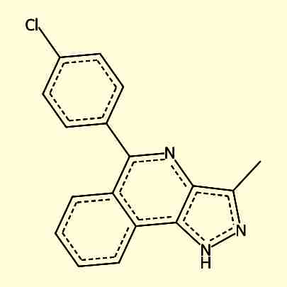 Cc1n[nH]c2c1nc(-c1ccc(Cl)cc1)c1ccccc12